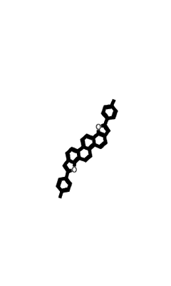 Cc1ccc(-c2cc3ccc4c5ccc6c(ccc7cc(-c8ccc(C)cc8)oc76)c5ccc4c3o2)cc1